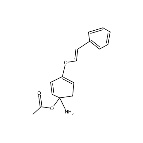 CC(=O)OC1(N)C=CC(OC=Cc2ccccc2)=CC1